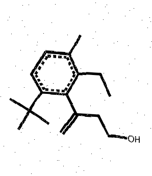 C=C(CCO)c1c(C(C)(C)C)ccc(C)c1CC